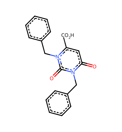 O=C(O)c1cc(=O)n(Cc2ccccc2)c(=O)n1Cc1ccccc1